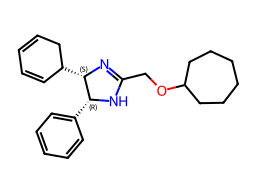 C1=CCC([C@@H]2N=C(COC3CCCCCC3)N[C@@H]2c2ccccc2)C=C1